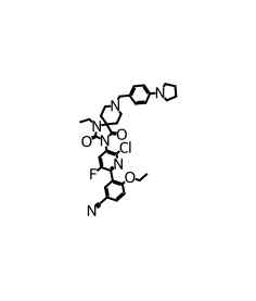 CCOc1ccc(C#N)cc1-c1nc(Cl)c(N2C(=O)N(CC)C3(CCN(Cc4ccc(N5CCCC5)cc4)CC3)C2=O)cc1F